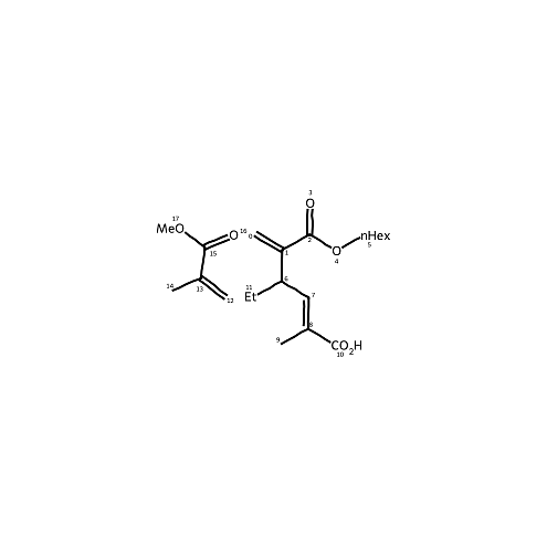 C=C(C(=O)OCCCCCC)C(C=C(C)C(=O)O)CC.C=C(C)C(=O)OC